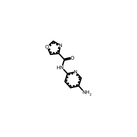 Nc1ccc(NC(=O)c2cocn2)nc1